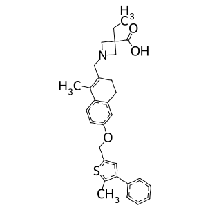 CCC1(C(=O)O)CN(CC2=C(C)c3ccc(OCc4cc(-c5ccccc5)c(C)s4)cc3CC2)C1